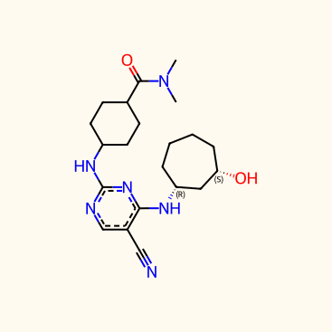 CN(C)C(=O)C1CCC(Nc2ncc(C#N)c(N[C@@H]3CCCC[C@H](O)C3)n2)CC1